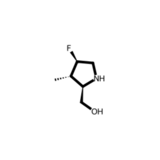 C[C@H]1[C@H](CO)NC[C@@H]1F